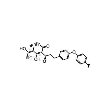 CCCC(=O)/C(C(=O)CCc1ccc(Oc2ccc(F)cc2)cc1)=C(O)\C(CCC)=C(\O)CCC